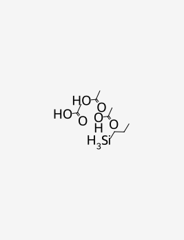 CC(=O)O.CC(=O)O.CC(=O)O.CCC[SiH3]